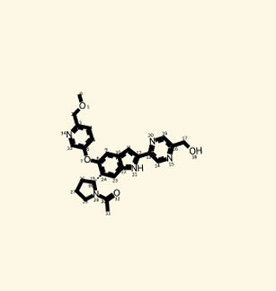 COCc1ccc(Oc2cc3cc(-c4cnc(CO)cn4)[nH]c3cc2[C@H]2CCCN2C(C)=O)cn1